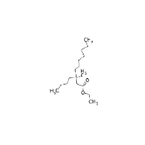 CCCCCCCC(C)(CCCC)CC(=O)OCC